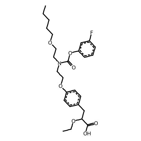 CCCCCOCCN(CCOc1ccc(CC(OCC)C(=O)O)cc1)C(=O)Oc1cccc(F)c1